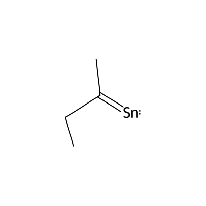 CC[C](C)=[Sn]